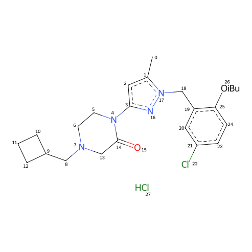 Cc1cc(N2CCN(CC3CCC3)CC2=O)nn1Cc1cc(Cl)ccc1OCC(C)C.Cl